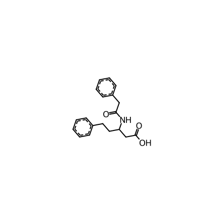 O=C(O)CC(CCc1ccccc1)NC(=O)Cc1ccccc1